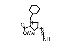 COC(=O)[C@@H]1C[C@H](N=[N+]=N)CN1CC1CCCCC1